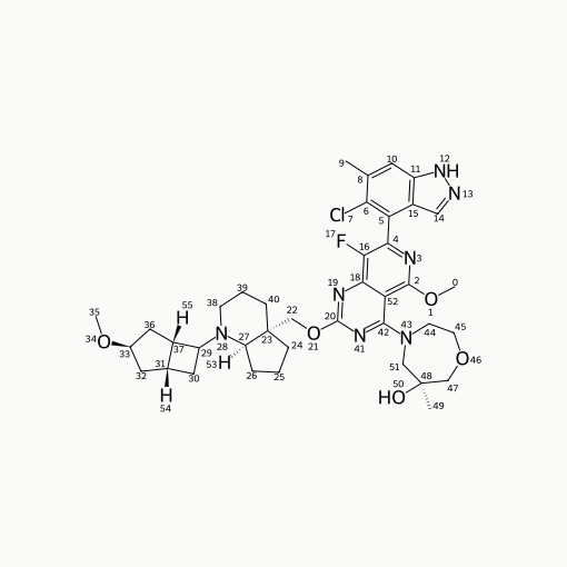 COc1nc(-c2c(Cl)c(C)cc3[nH]ncc23)c(F)c2nc(OC[C@]34CCC[C@H]3N(C3C[C@@H]5C[C@@H](OC)C[C@H]35)CCC4)nc(N3CCOC[C@@](C)(O)C3)c12